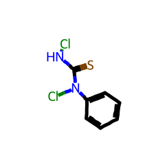 S=C(NCl)N(Cl)c1ccccc1